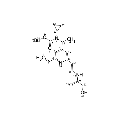 C=Cc1cc(C(C)N(C(=O)OC(C)(C)C)C2CC2)cc(/C=C/NC(=O)CO)n1